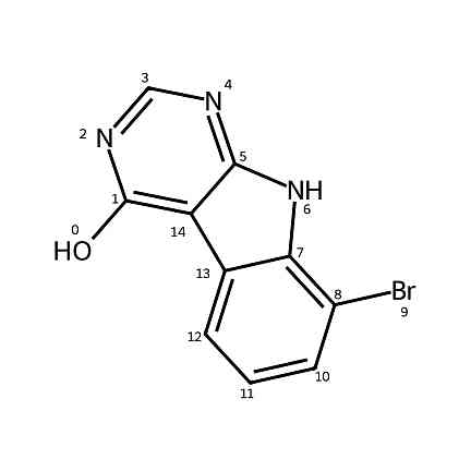 Oc1ncnc2[nH]c3c(Br)cccc3c12